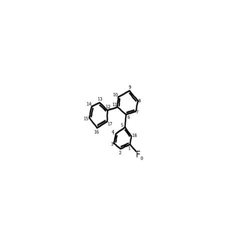 Fc1cc[c]c(-c2ccccc2-c2ccccc2)c1